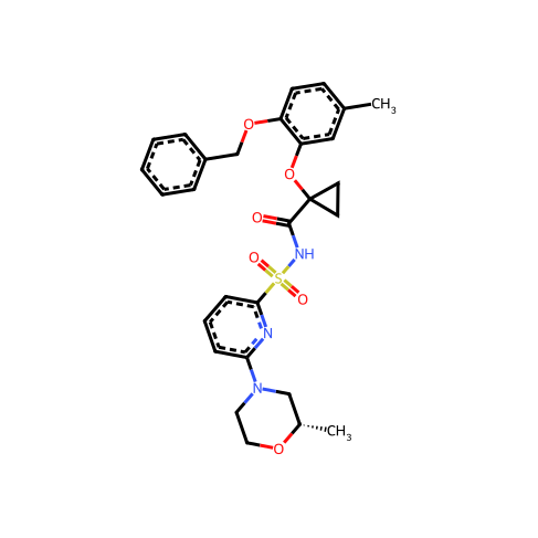 Cc1ccc(OCc2ccccc2)c(OC2(C(=O)NS(=O)(=O)c3cccc(N4CCO[C@@H](C)C4)n3)CC2)c1